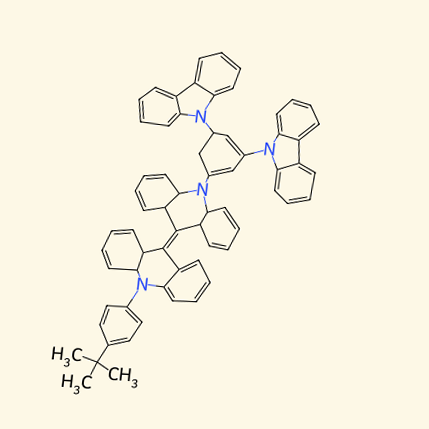 CC(C)(C)c1ccc(N2c3ccccc3C(=C3C4C=CC=CC4N(C4=CC(n5c6ccccc6c6ccccc65)=CC(n5c6ccccc6c6ccccc65)C4)C4C=CC=CC34)C3C=CC=CC32)cc1